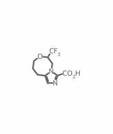 O=C(O)c1ncc2n1CC(C(F)(F)F)OCCC2